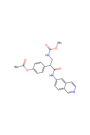 CC(C)(C)OC(=O)NCC(C(=O)Nc1ccc2cnccc2c1)c1ccc(OC(=O)C(C)(C)C)cc1